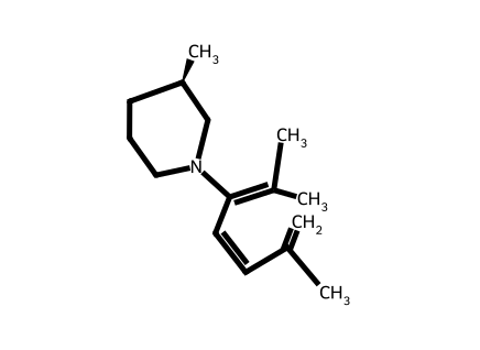 C=C(C)/C=C\C(=C(C)C)N1CCC[C@@H](C)C1